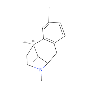 Cc1ccc2c(c1)[C@]1(C)CCN(C)C(C2)C1C